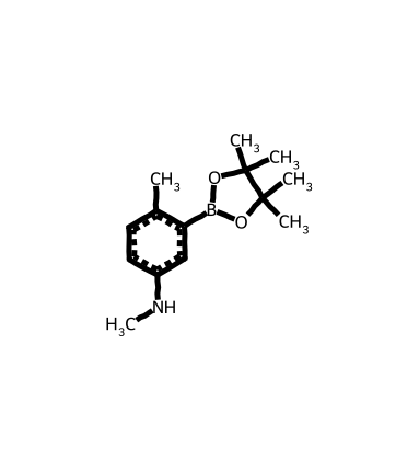 CNc1ccc(C)c(B2OC(C)(C)C(C)(C)O2)c1